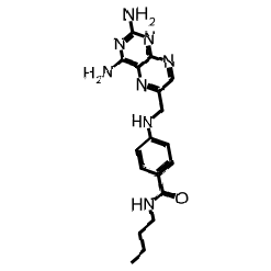 CCCCNC(=O)c1ccc(NCc2cnc3nc(N)nc(N)c3n2)cc1